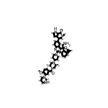 COc1ccc(C(=O)N2C[C@H](C)N(C3CCN(c4nc(C(CN)(OC5CC5)c5ccccc5F)c5cc(-c6cn(C)c(=O)c7[nH]ccc67)ccc5n4)CC3)C[C@H]2C)cc1N1C=CCNC1